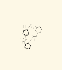 CCCCS(=O)(=O)Nc1ccc(S(=O)(=O)Nc2ccccc2CN[C@@H](C)CC2CCCCC2)cc1